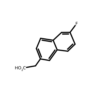 O=C(O)Cc1ccc2cc(F)ccc2c1